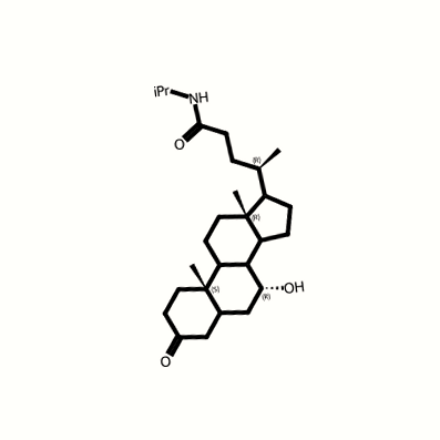 CC(C)NC(=O)CC[C@@H](C)C1CCC2C3C(CC[C@@]21C)[C@@]1(C)CCC(=O)CC1C[C@H]3O